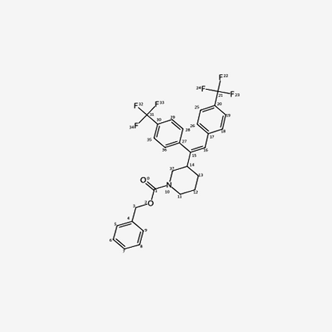 O=C(OCc1ccccc1)N1CCCC(C(=Cc2ccc(C(F)(F)F)cc2)c2ccc(C(F)(F)F)cc2)C1